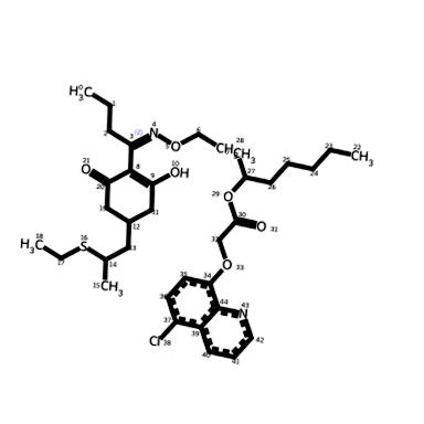 CCC/C(=N/OCC)C1=C(O)CC(CC(C)SCC)CC1=O.CCCCCC(C)OC(=O)COc1ccc(Cl)c2cccnc12